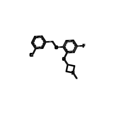 CN1CC(Oc2cc(F)ccc2OCc2cccc(Cl)c2)C1